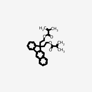 C=C(C)C(=O)OCCC1(CCOC(=O)C(=C)C)c2ccccc2-c2cc3ccccc3cc21